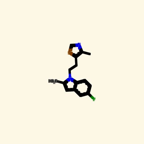 Cc1ncsc1CCn1c(C(=O)O)cc2cc(F)ccc21